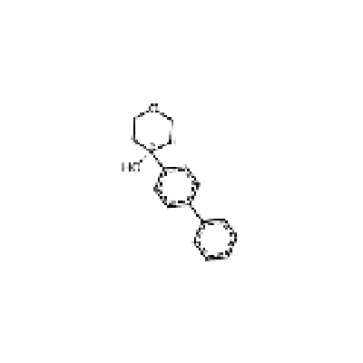 O[C@@]1(c2ccc(-c3ccccc3)cc2)[CH]COCC1